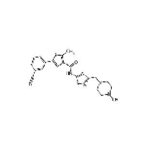 Cc1sc(-c2cccc(C#N)c2)cc1C(=O)Nc1nc(CN2CCN(C)CC2)ns1